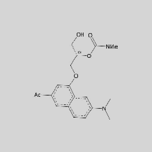 CNC(=O)O[C@@H](CO)COc1cc(C(C)=O)cc2ccc(N(C)C)cc12